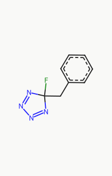 FC1(Cc2ccccc2)N=NN=N1